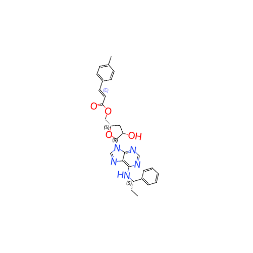 CC[C@H](Nc1ncnc2c1ncn2[C@@H]1O[C@H](COC(=O)/C=C/c2ccc(C)cc2)CC1O)c1ccccc1